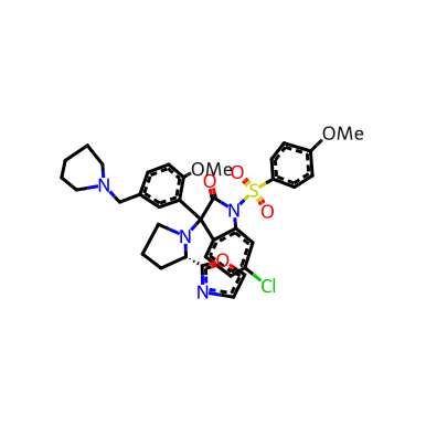 COc1ccc(S(=O)(=O)N2C(=O)C(c3cc(CN4CCCCC4)ccc3OC)(N3CCC[C@H]3c3ncco3)c3ccc(Cl)cc32)cc1